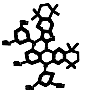 CC(C)(C)c1cc(N2c3cc4c(cc3B3c5sc6cc7c(cc6c5N(c5cc(C(C)(C)C)cc(C(C)(C)C)c5)c5cc(C(C)(C)C)cc2c53)C(C)(C)CCC7(C)C)C(C)(C)CCC4(C)C)cc(C(C)(C)C)c1